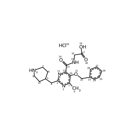 Cc1nc(CC2CCNCC2)nc(C(=O)NCC(=O)O)c1OCc1ccccc1.Cl